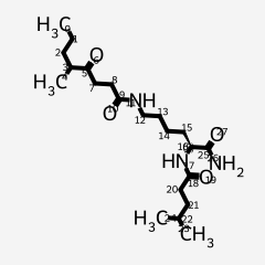 CCCC(C)C(=O)CCC(=O)NCCCC[C@H](NC(=O)CCC(C)C)C(N)=O